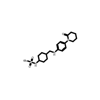 CC(C)(C)S(=O)(=O)NC1CCC(CNc2ccc(N3CCCCC3=O)cc2)CC1